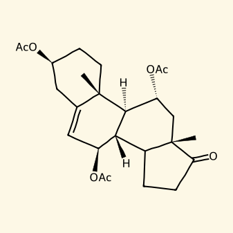 CC(=O)O[C@H]1CC[C@@]2(C)C(=C[C@H](OC(C)=O)[C@H]3C4CCC(=O)[C@@]4(C)C[C@@H](OC(C)=O)[C@@H]32)C1